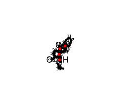 CCCC(=O)c1ccc(N2C3CCC2CC(CC(=O)c2ccc(C=O)c(NCC4CC4)c2)C3)nc1